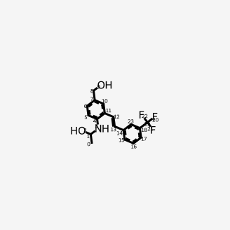 CC(O)Nc1ccc(CO)cc1/C=C/c1cccc(C(F)(F)F)c1